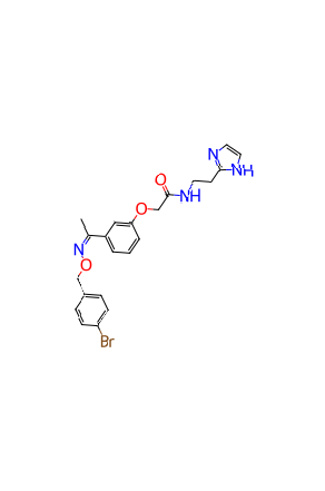 CC(=NOCc1ccc(Br)cc1)c1cccc(OCC(=O)NCCc2ncc[nH]2)c1